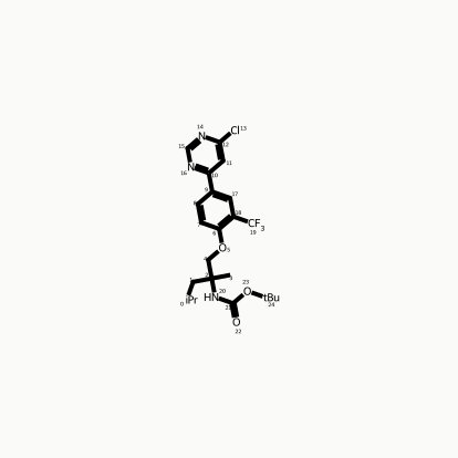 CC(C)CC(C)(COc1ccc(-c2cc(Cl)ncn2)cc1C(F)(F)F)NC(=O)OC(C)(C)C